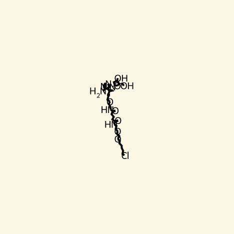 Nc1ncnc2c1c(C#CCOCCNC(=O)CCCC(=O)NCCOCCOCCCCCCCl)cn2[C@H]1CC(O)[C@@H](CO)O1